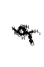 C[C@@H]1NC(=O)[C@@H](N(C)C(=O)[C@H](CCCCN)NC(=O)c2ccc(-c3ccc(Cl)cc3)cc2)c2ccc(O)c(c2)-c2cc(ccc2O)C[C@@H](C(=O)NCC#N)NC1=O